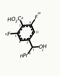 CCCC(O)c1cc(F)c(C(=O)O)c(F)c1